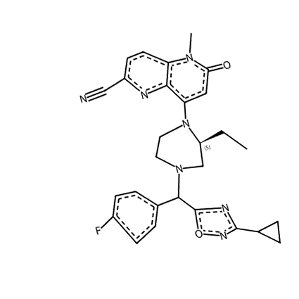 CC[C@H]1CN(C(c2ccc(F)cc2)c2nc(C3CC3)no2)CCN1c1cc(=O)n(C)c2ccc(C#N)nc12